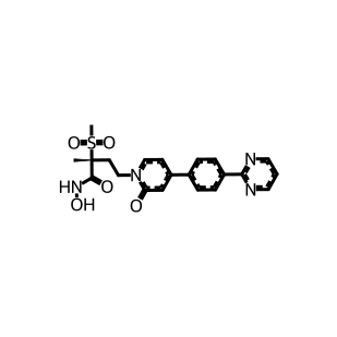 C[C@@](CCn1ccc(-c2ccc(-c3ncccn3)cc2)cc1=O)(C(=O)NO)S(C)(=O)=O